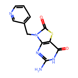 Nc1nc2c(sc(=O)n2Cc2cccnc2)c(=O)[nH]1